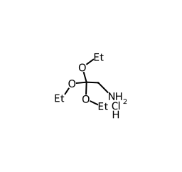 CCOC(CN)(OCC)OCC.Cl